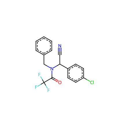 N#CC(c1ccc(Cl)cc1)N(Cc1ccccc1)C(=O)C(F)(F)F